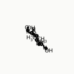 Cc1c(Nc2nccc3cc(CCN4CC[C@@H](O)C4)cnc23)cccc1-c1cccc(-c2nc3cc(CN4CC[C@@H](C(=O)O)C4)cc(C#N)c3o2)c1C